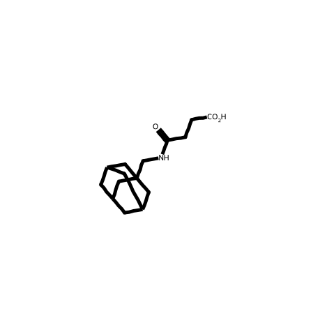 O=C(O)CCC(=O)NCC12CC3CC(CC(C3)C1)C2